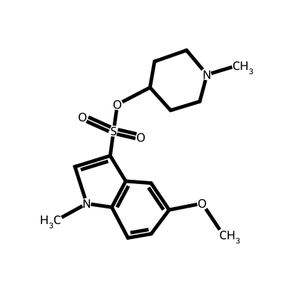 COc1ccc2c(c1)c(S(=O)(=O)OC1CCN(C)CC1)cn2C